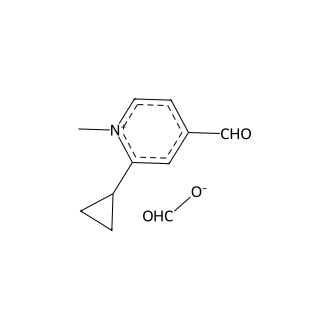 C[n+]1ccc(C=O)cc1C1CC1.O=C[O-]